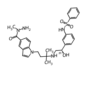 CN(N)C(=O)c1ccc2c(ccn2CCC(C)(C)NC[C@H](O)c2cccc(NS(=O)(=O)c3ccccc3)c2)c1